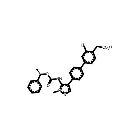 C[C@@H](OC(=O)Nc1c(-c2ccc(-c3ccc(CC(=O)O)c(Cl)c3)cc2)cnn1C)c1ccccc1